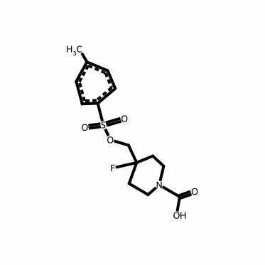 Cc1ccc(S(=O)(=O)OCC2(F)CCN(C(=O)O)CC2)cc1